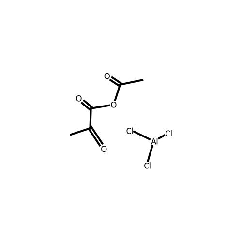 CC(=O)OC(=O)C(C)=O.[Cl][Al]([Cl])[Cl]